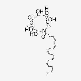 CC/C=C\C/C=C\C/C=C\C/C=C\C/C=C\C/C=C\CCC(=O)N1C[C@H](C)C[C@@](C)(O)[C@H](O)[C@@H](C)[C@H](O)[C@@H](C)C(=O)O[C@H](CC)[C@@](C)(O)[C@H](O)[C@H]1C